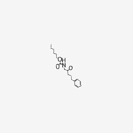 CCCCCCOC(=O)NCC(=O)CCCc1ccccc1